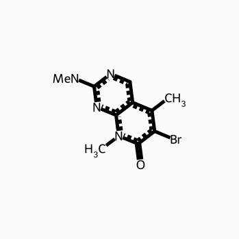 CNc1ncc2c(C)c(Br)c(=O)n(C)c2n1